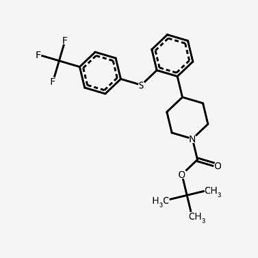 CC(C)(C)OC(=O)N1CCC(c2ccccc2Sc2ccc(C(F)(F)F)cc2)CC1